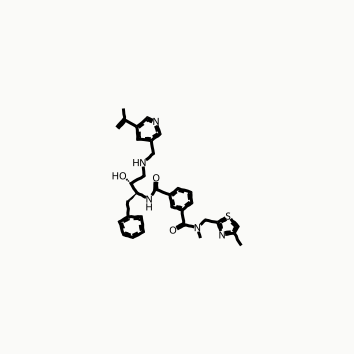 C=C(C)c1cncc(CNC[C@@H](O)[C@H](Cc2ccccc2)NC(=O)c2cccc(C(=O)N(C)Cc3nc(C)cs3)c2)c1